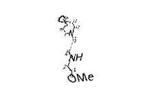 COCCNCCN1CC[S+]([O-])CC1